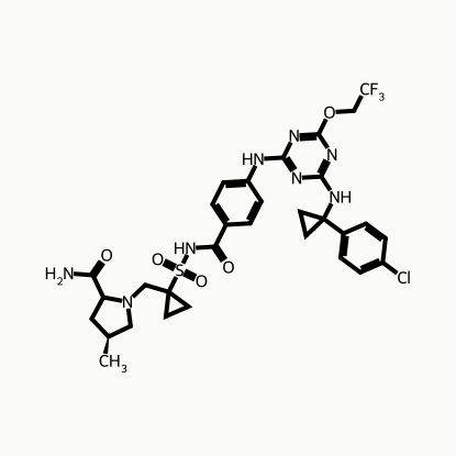 C[C@H]1CC(C(N)=O)N(CC2(S(=O)(=O)NC(=O)c3ccc(Nc4nc(NC5(c6ccc(Cl)cc6)CC5)nc(OCC(F)(F)F)n4)cc3)CC2)C1